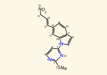 CSc1nccc(-n2ccc3ccc(/C=C/C[N+](=O)[O-])cc32)n1